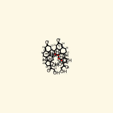 C[C@]12C[C@H](O)[C@H]3[C@@H](CCC4=CC(=O)CC(C(CCCC(=O)O)C5CC(=O)C=C6CC[C@@H]7[C@H]([C@@H](O)C[C@@]8(C)[C@H]7CC[C@]8(O)C(=O)CO)[C@]65C)[C@@]43C)[C@@H]1CC[C@]2(O)C(=O)CO